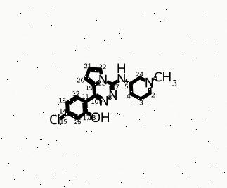 CN1CCC[C@@H](Nc2nnc(-c3ccc(Cl)cc3O)c3cccn23)C1